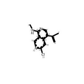 C=C(C)c1cnc(NC)c2cnc(Cl)cc12